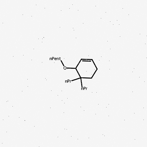 CCCCCOC1C=CCCC1(CCC)CCC